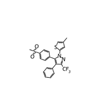 Cc1csc(-n2nc(C(F)(F)F)c(-c3ccccc3)c2-c2ccc(S(C)(=O)=O)cc2)c1